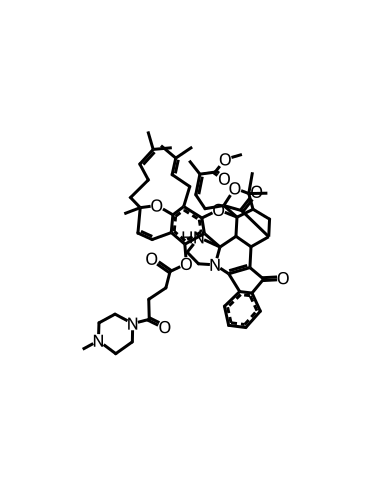 COC(=O)/C(C)=C\CC12OC(C)(C)C3CC(C1=O)C1C4=C(c5ccccc5C4=O)N4CCNC45c4c(OC(=O)CCC(=O)N6CCN(C)CC6)c6c(c(CC=C(C)C)c4OC32C15)OC(C)(CCC=C(C)C)C=C6